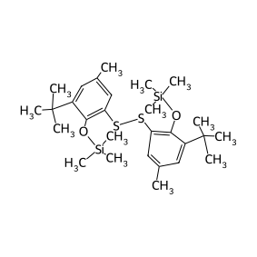 Cc1cc(SSc2cc(C)cc(C(C)(C)C)c2O[Si](C)(C)C)c(O[Si](C)(C)C)c(C(C)(C)C)c1